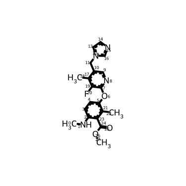 CNc1ccc(Oc2ncc(Cn3ccnc3)c(C)c2F)c(C)c1C(=O)OC